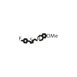 COc1ccc2c(c1)CCN(CCc1ccc(-c3ccc(CF)cc3)s1)CC2